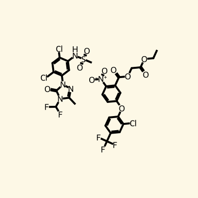 CCOC(=O)COC(=O)c1cc(Oc2ccc(C(F)(F)F)cc2Cl)ccc1[N+](=O)[O-].Cc1nn(-c2cc(NS(C)(=O)=O)c(Cl)cc2Cl)c(=O)n1C(F)F